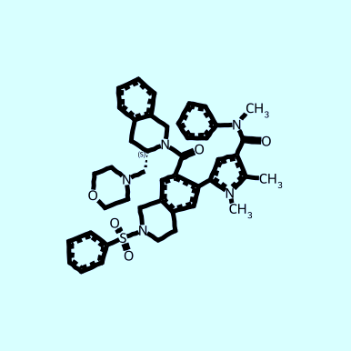 Cc1c(C(=O)N(C)c2ccccc2)cc(-c2cc3c(cc2C(=O)N2Cc4ccccc4C[C@H]2CN2CCOCC2)CN(S(=O)(=O)c2ccccc2)CC3)n1C